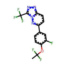 CC(F)(F)Oc1ccc(-c2ccc3nnc(C(F)(F)F)n3n2)cc1F